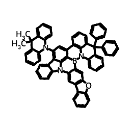 CC1(C)c2ccccc2N(c2cc3c4c5c2c2ccccc2n5-c2cc5c(cc2B4N2c4ccccc4C(c4ccccc4)(c4ccccc4)c4cccc-3c42)oc2ccccc25)c2ccccc21